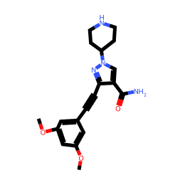 COc1cc(C#Cc2nn(C3CCNCC3)cc2C(N)=O)cc(OC)c1